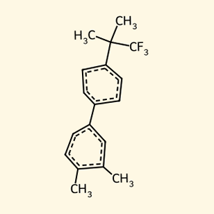 Cc1ccc(-c2ccc(C(C)(C)C(F)(F)F)cc2)cc1C